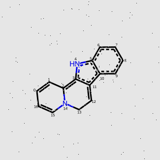 C1=CC2=c3[nH]c4ccccc4c3=CCN2C=C1